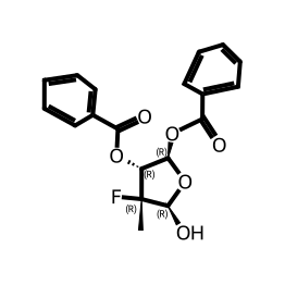 C[C@]1(F)[C@H](O)O[C@H](OC(=O)c2ccccc2)[C@H]1OC(=O)c1ccccc1